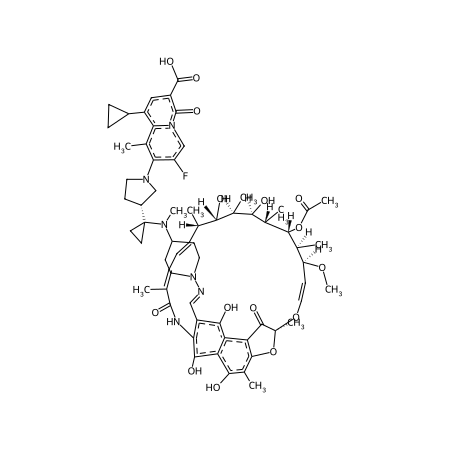 CO[C@H]1/C=C/O[C@@]2(C)Oc3c(C)c(O)c4c(O)c(c(/C=N/N5CCC(N(C)C6([C@@H]7CCN(c8c(F)cn9c(=O)c(C(=O)O)cc(C%10CC%10)c9c8C)C7)CC6)CC5)c(O)c4c3C2=O)NC(=O)/C(C)=C\C=C\[C@H](C)[C@H](O)[C@@H](C)[C@@H](O)[C@H](C)[C@H](OC(C)=O)[C@H]1C